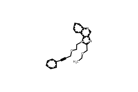 CCOCc1nc2cnc3ccccc3c2n1CCOCC#Cc1ccccc1